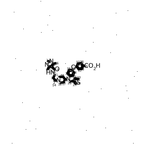 Cc1ncnc(C)c1C(=O)NCC[C@@H](C)N1CCC(N(Cc2ccsc2)c2ccc(Oc3ccc(C(=O)O)cc3)cc2)CC1